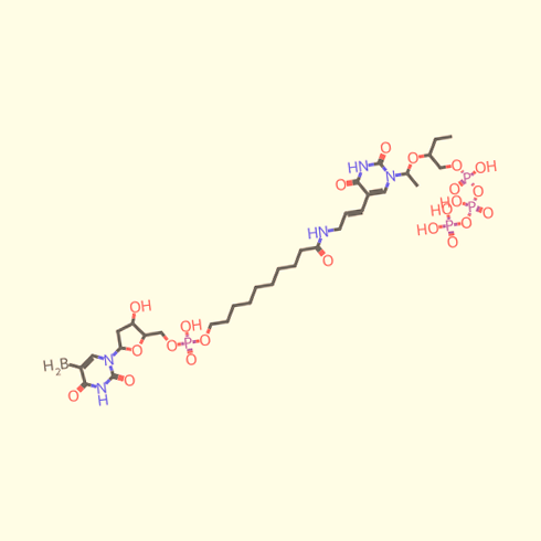 Bc1cn(C2CC(O)C(COP(=O)(O)OCCCCCCCCCC(=O)NC/C=C/c3cn(C(C)OC(CC)COP(=O)(O)OP(=O)(O)OP(=O)(O)O)c(=O)[nH]c3=O)O2)c(=O)[nH]c1=O